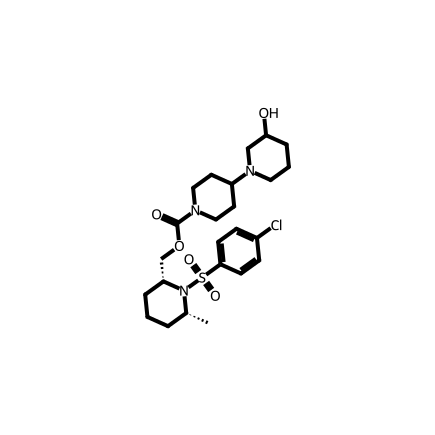 C[C@@H]1CCC[C@H](COC(=O)N2CCC(N3CCCC(O)C3)CC2)N1S(=O)(=O)c1ccc(Cl)cc1